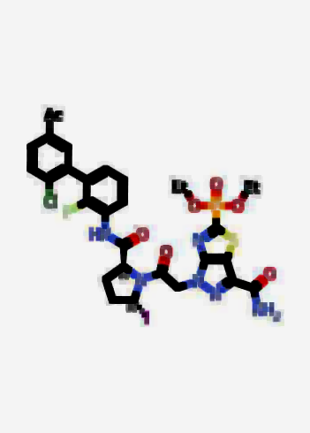 CCOP(=O)(OCC)c1nc2c(s1)c(C(N)=O)nn2CC(=O)N1[C@H](I)CC[C@H]1C(=O)Nc1cccc(-c2cc(C(C)=O)ccc2Cl)c1F